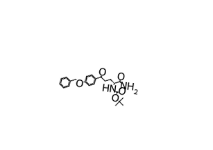 CC(C)(C)OC(=O)N[C@@H](CCC(=O)c1ccc(OCc2ccccc2)cc1)C(N)=O